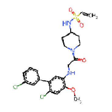 C=CS(=O)(=O)NC1CCN(C(=O)CNc2cc(-c3cccc(Cl)c3)c(Cl)cc2OC)CC1